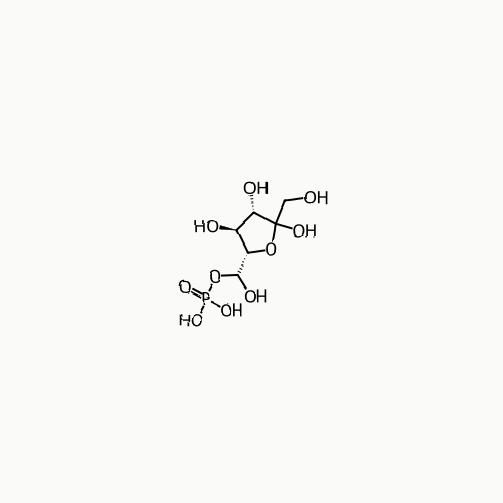 O=P(O)(O)OC(O)[C@H]1OC(O)(CO)[C@@H](O)[C@@H]1O